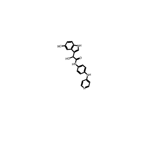 N#Cc1ccc2[nH]cc(C(O)C(=O)Nc3ccc(Nc4ccncc4)cc3)c2c1